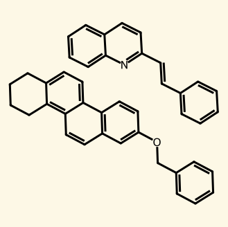 C(=Cc1ccc2ccccc2n1)c1ccccc1.c1ccc(COc2ccc3c(ccc4c5c(ccc43)CCCC5)c2)cc1